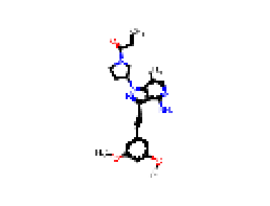 C=CC(=O)N1CCC(n2nc(C#Cc3cc(OC)cc(OC)c3)c3c(N)ncc(C)c32)C1